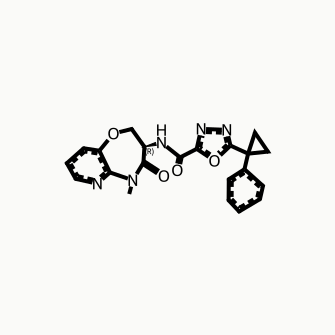 CN1C(=O)[C@H](NC(=O)c2nnc(C3(c4ccccc4)CC3)o2)COc2cccnc21